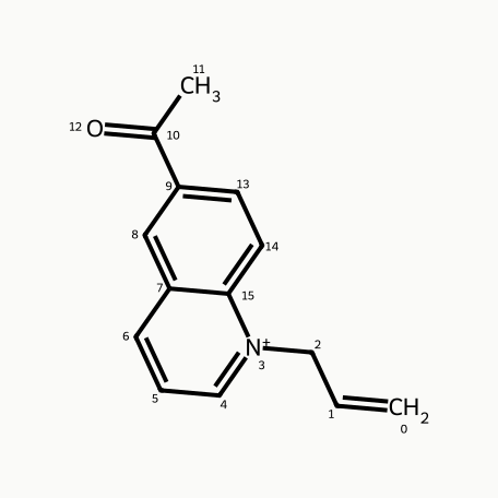 C=CC[n+]1cccc2cc(C(C)=O)ccc21